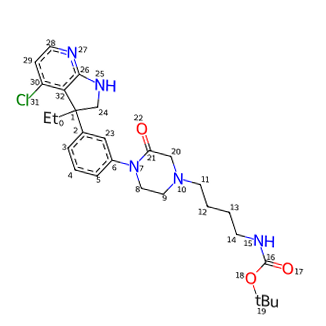 CCC1(c2cccc(N3CCN(CCCCNC(=O)OC(C)(C)C)CC3=O)c2)CNc2nccc(Cl)c21